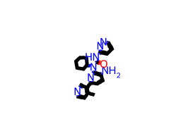 Cc1ccncc1-c1ccc(N)c(N(C(=O)Nc2cccnn2)C2CCCCC2)n1